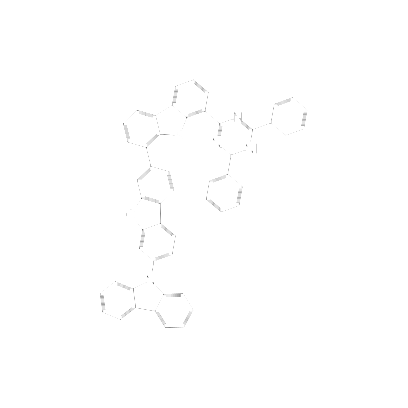 C1=CCC(C2=NC(c3cccc4c3sc3c(-c5ccc6c(c5)oc5cc(-n7c8ccccc8c8ccccc87)ccc56)cccc34)=NC(c3ccccc3)N2)C=C1